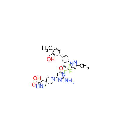 Cc1ccn(-c2ccc(-c3ccc(C)c(CO)c3)cc2[C@@H](Oc2cc(N3CCC4(CC3)CN[C@H](C(=O)O)C4)nc(N)n2)C(F)(F)F)n1